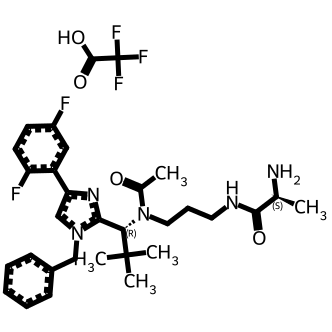 CC(=O)N(CCCNC(=O)[C@H](C)N)[C@@H](c1nc(-c2cc(F)ccc2F)cn1Cc1ccccc1)C(C)(C)C.O=C(O)C(F)(F)F